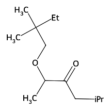 CCC(C)(C)COC(C)C(=O)CC(C)C